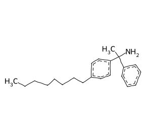 CCCCCCCCc1ccc(C(C)(N)c2ccccc2)cc1